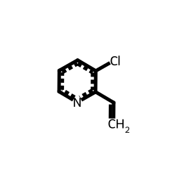 C=Cc1ncccc1Cl